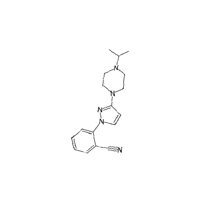 CC(C)N1CCN(c2ccn(-c3ccccc3C#N)n2)CC1